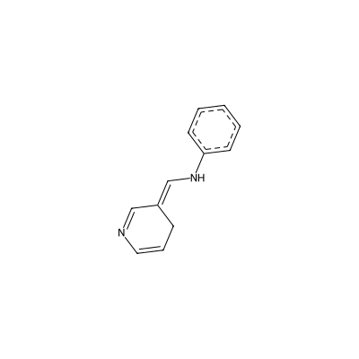 C1=CN=CC(=CNc2ccccc2)C1